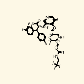 C[C@H]1O[C@H](COc2c(F)cncc2N[C@H](C(N)=O)C(c2ccc(F)cc2)c2ccc(F)cc2)CN[C@@H]1COC(=O)NCC(F)(F)F